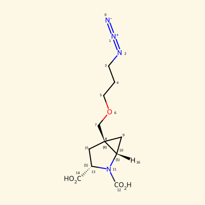 [N-]=[N+]=NCCCOC[C@@]12C[C@@H]1N(C(=O)O)[C@H](C(=O)O)C2